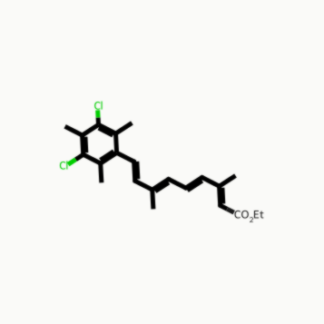 CCOC(=O)C=C(C)C=CC=C(C)C=Cc1c(C)c(Cl)c(C)c(Cl)c1C